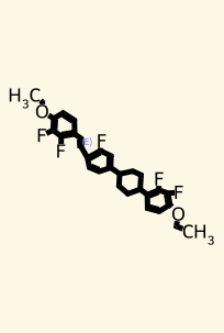 CCOc1ccc(/C=C/c2ccc(C3CCC(c4ccc(OCC)c(F)c4F)CC3)cc2F)c(F)c1F